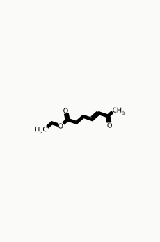 CCOC(=O)CCC=CC(C)=O